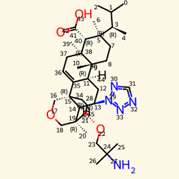 CC(C)[C@@H](C)[C@@]1(C)CC[C@]2(C)[C@H]3CC[C@@H]4[C@@]5(COC[C@]4(C)[C@@H](OCC(C)(C)N)[C@H](n4ncnn4)C5)C3=CC[C@@]2(C)[C@@H]1C(=O)O